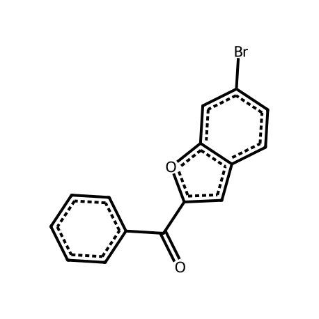 O=C(c1ccccc1)c1cc2ccc(Br)cc2o1